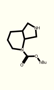 CCCCOC(=O)N1CCCC2CNCC21